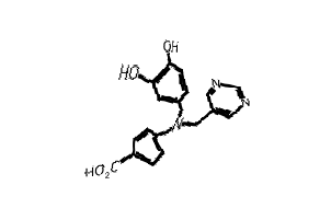 O=C(O)c1ccc(N(Cc2cncnc2)c2ccc(O)c(O)c2)cc1